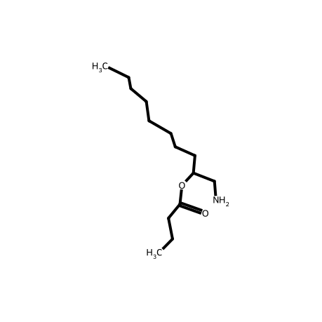 CCCCCCCCC(CN)OC(=O)CCC